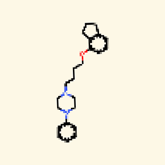 c1ccc(N2CCN(CCCCOc3cccc4c3CCC4)CC2)cc1